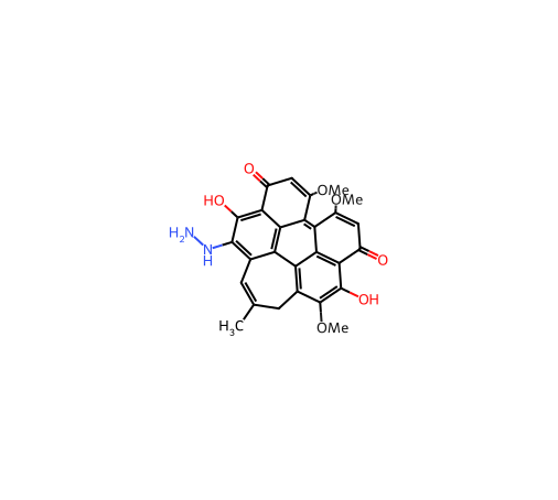 COc1c(O)c2c(=O)cc(OC)c3c4c(OC)cc(=O)c5c(O)c(NN)c6c(c(c1CC(C)=C6)c23)c54